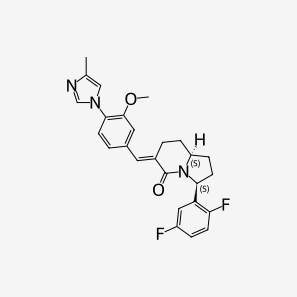 COc1cc(C=C2CC[C@H]3CC[C@@H](c4cc(F)ccc4F)N3C2=O)ccc1-n1cnc(C)c1